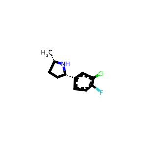 C[C@H]1CC[C@@H](c2ccc(F)c(Cl)c2)N1